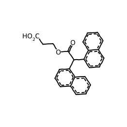 O=C(O)CCOC(=O)C(c1cccc2ccccc12)c1cccc2ccccc12